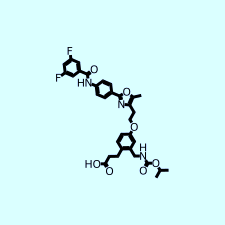 Cc1oc(-c2ccc(NC(=O)c3cc(F)cc(F)c3)cc2)nc1CCOc1ccc(CCC(=O)O)c(CNC(=O)OC(C)C)c1